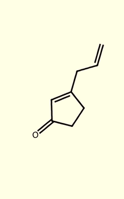 C=CCC1=CC(=O)CC1